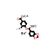 CCCc1cc(C(=O)OC)ccc1OC(C(=O)[O-])c1ccc2c(c1)OCO2.[Na+]